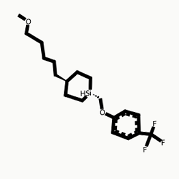 COCCCCC[C@H]1CC[Si@H](COc2ccc(C(F)(F)F)cc2)CC1